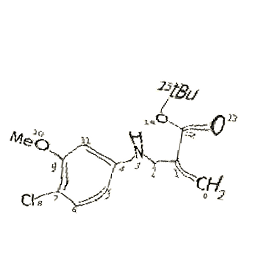 C=C(CNc1ccc(Cl)c(OC)c1)C(=O)OC(C)(C)C